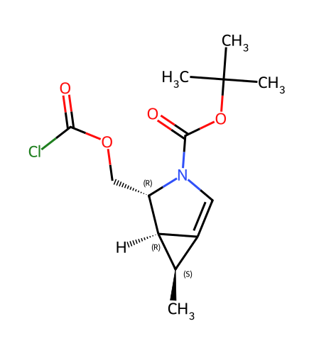 C[C@@H]1C2=CN(C(=O)OC(C)(C)C)[C@@H](COC(=O)Cl)[C@@H]21